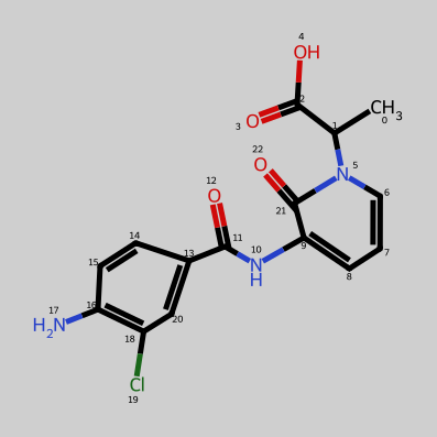 CC(C(=O)O)n1cccc(NC(=O)c2ccc(N)c(Cl)c2)c1=O